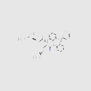 C=CC#C/C=C(\CC)N1C(=C/CC=C)/C(=C\C)B2c3ccccc3N(C3=CC=CCC3)c3cccc1c32